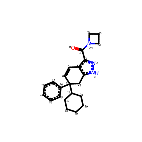 O=C(c1n[nH]c2c1C=CC(c1ccccc1)(C1CCCCC1)C2)N1CCC1